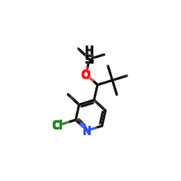 Cc1c(C(O[SiH](C)C)C(C)(C)C)ccnc1Cl